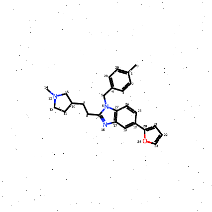 Cc1ccc(Cn2c(CCC3CCN(C)C3)nc3cc(-c4ccco4)ccc32)cc1